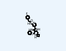 O=C(Cc1ccc(F)cc1)Nc1cc(-c2[nH]c3c(c2Nc2ccccc2)C(=O)NC2(CCC2)C3)ccn1